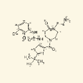 CC(C)(C)c1cc(C(=O)N2CCC(=O)N(CCN)CC2)c(NC(=O)Nc2cccc(Cl)c2Cl)s1